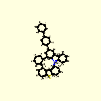 c1ccc(-c2ccc(-c3cc4c5ccccc5c5cccc6sc7cccc(c7c65)n5c6ccccc6c(c3)c45)cc2)cc1